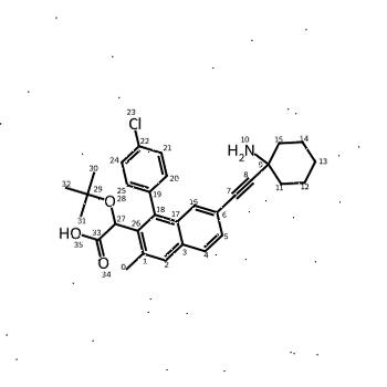 Cc1cc2ccc(C#CC3(N)CCCCC3)cc2c(-c2ccc(Cl)cc2)c1C(OC(C)(C)C)C(=O)O